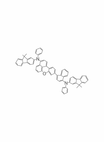 CC1(C)c2ccccc2-c2ccc(N(c3ccccc3)c3ccc(-c4ccc5c(c4)Oc4cccc6c(N(c7ccccc7)c7ccc8c(c7)C(C)(C)c7ccccc7-8)ccc-5c46)c4ccccc34)cc21